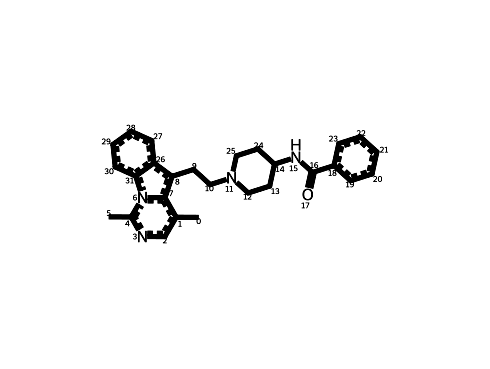 Cc1cnc(C)n2c1c(CCN1CCC(NC(=O)c3ccccc3)CC1)c1ccccc12